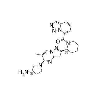 Cc1cn2nc([C@@H]3CCCCN3C(=O)c3cccc4cnnn34)cc2nc1N1CC[C@H](N)C1